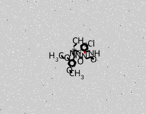 CCC[C@H]1N=C(c2ccc(OC)cc2OCC)N(C(=O)N2CCNC(=O)C2)[C@H]1c1ccc(Cl)cc1